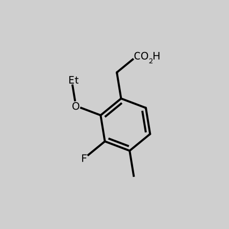 CCOc1c(CC(=O)O)ccc(C)c1F